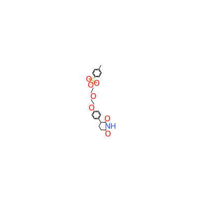 Cc1ccc(S(=O)(=O)OCCOCCOc2ccc(C3CCC(=O)NC3=O)cc2)cc1